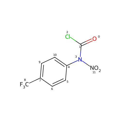 O=C(Cl)N(c1ccc(C(F)(F)F)cc1)[N+](=O)[O-]